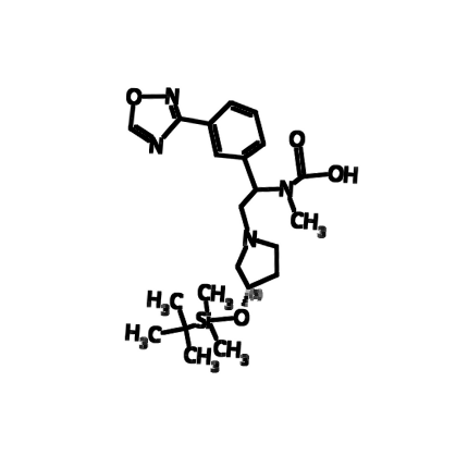 CN(C(=O)O)C(CN1CC[C@H](O[Si](C)(C)C(C)(C)C)C1)c1cccc(-c2ncon2)c1